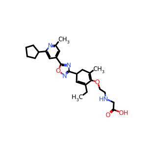 CCC1=CC(c2noc(-c3cc(C)nc(C4CCCC4)c3)n2)CC(C)=C1OCCNCC(=O)O